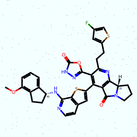 COc1cccc2c1CC[C@H]2Nc1nccc2cc(-c3c4c(nc(CCc5cc(F)cs5)c3-c3n[nH]c(=O)o3)[C@@H]3CCCN3C4=O)sc12